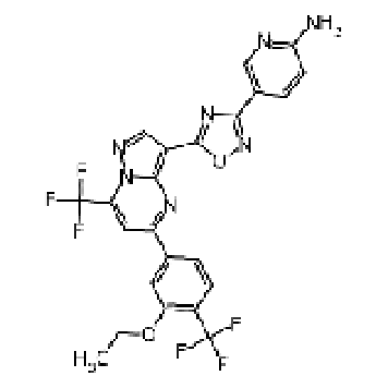 CCOc1cc(-c2cc(C(F)(F)F)n3ncc(-c4nc(-c5ccc(N)nc5)no4)c3n2)ccc1C(F)(F)F